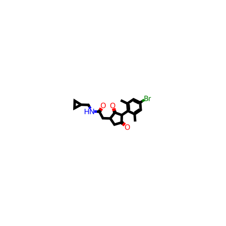 Cc1cc(Br)cc(C)c1C1C(=O)CC(CC(=O)NCC2CC2)C1=O